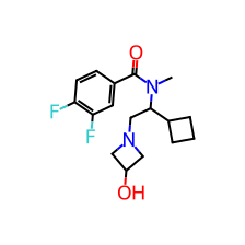 CN(C(=O)c1ccc(F)c(F)c1)C(CN1CC(O)C1)C1CCC1